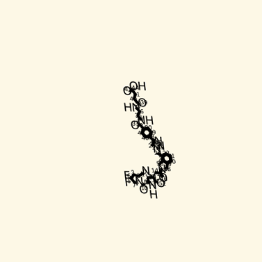 N#CC1CC(F)(F)CN1C(=O)[C@@H]1C[C@@H](CC(=O)N2Cc3cccc(Cn4cc(-c5ccc(C(=O)NCCNC(=O)CCC(=O)O)cc5)nn4)c3C2)C(=O)N1